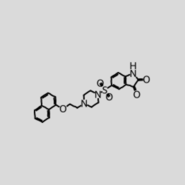 O=C1Nc2ccc(S(=O)(=O)N3CCN(CCOc4cccc5ccccc45)CC3)cc2C1=O